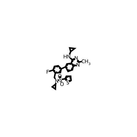 Cc1nc(NC2CC2)c2cc(-c3ccc(F)c(CN(C4CC4)S(=O)(=O)c4cccs4)c3)ccc2n1